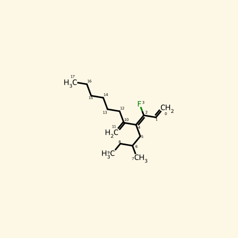 C=C/C(F)=C(\CC(C)CC)C(=C)CCCCCC